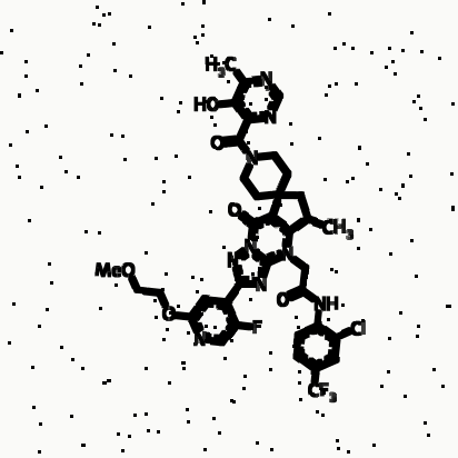 COCCOc1cc(-c2nc3n(CC(=O)Nc4ccc(C(F)(F)F)cc4Cl)c4c(c(=O)n3n2)C2(CCN(C(=O)c3ncnc(C)c3O)CC2)CC4C)c(F)cn1